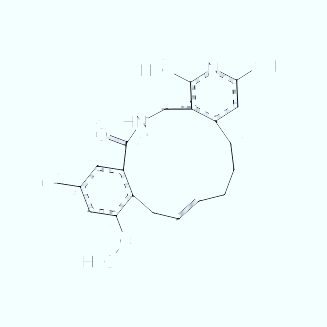 COc1cc(Cl)cc2c1C/C=C/CCCc1cc(C)nc(C)c1CNC2=O